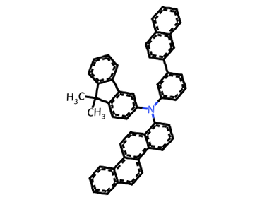 CC1(C)c2ccccc2-c2cc(N(c3cccc(-c4ccc5ccccc5c4)c3)c3cccc4c3ccc3c5ccccc5ccc43)ccc21